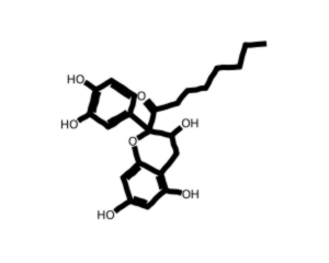 CCCCCCCC(=O)C1(c2ccc(O)c(O)c2)Oc2cc(O)cc(O)c2CC1O